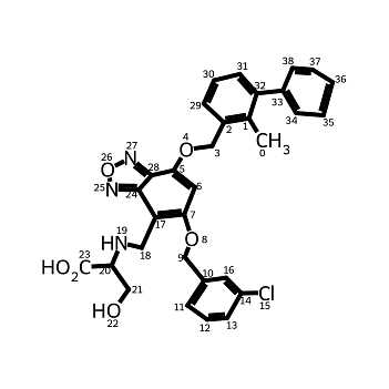 Cc1c(COc2cc(OCc3cccc(Cl)c3)c(CNC(CO)C(=O)O)c3nonc23)cccc1-c1ccccc1